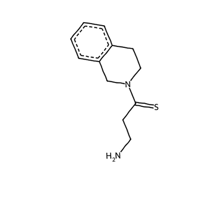 NCCC(=S)N1CCc2ccccc2C1